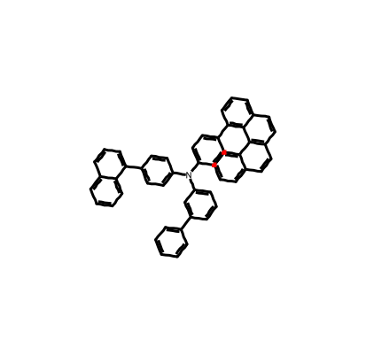 c1ccc(-c2cccc(N(c3ccc(-c4cccc5ccccc45)cc3)c3ccc(-c4cccc5ccc6ccc7ccccc7c6c45)cc3)c2)cc1